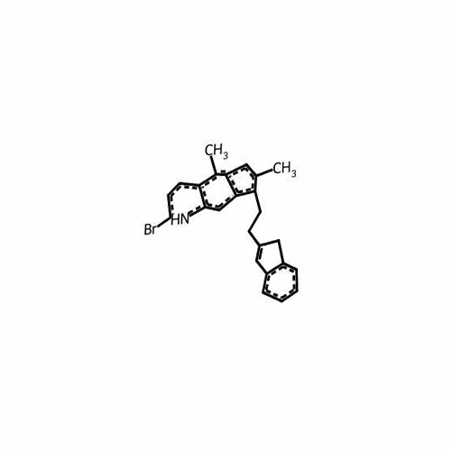 Cc1cc2c(C)c3ccc(Br)[nH]c3cc2c1CCC1=Cc2ccccc2C1